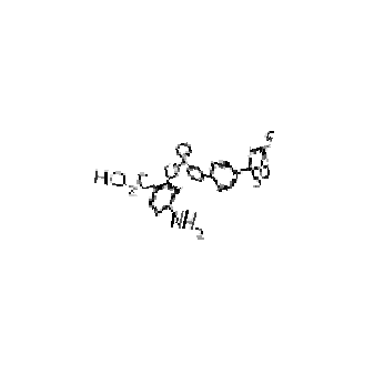 Nc1ccc(C(=O)O)c(OC(=O)Oc2ccc(-c3cc(=S)ss3)cc2)c1